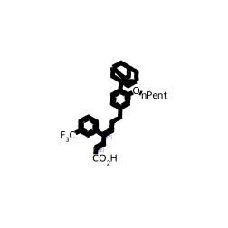 CCCCCOc1cc(CC/C=C(/C=C/C(=O)O)c2cccc(C(F)(F)F)c2)ccc1C12CC3CC(CC(C3)C1)C2